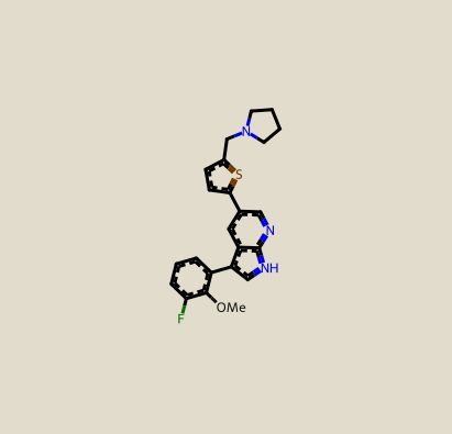 COc1c(F)cccc1-c1c[nH]c2ncc(-c3ccc(CN4CCCC4)s3)cc12